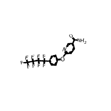 NC(=O)c1ccc(Oc2ccc(C(F)(F)C(F)(F)C(F)(F)C(F)(F)F)cc2)nc1